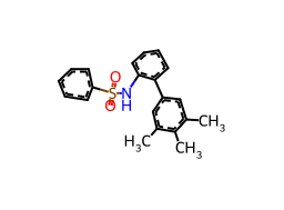 Cc1cc(-c2ccccc2NS(=O)(=O)c2ccccc2)cc(C)c1C